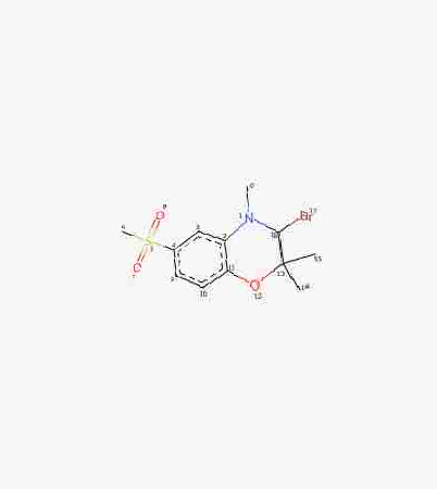 CN1c2cc(S(C)(=O)=O)ccc2OC(C)(C)C1Br